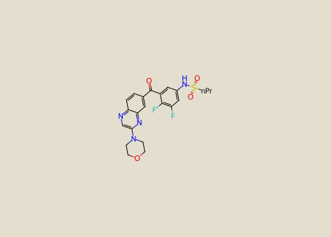 CCCS(=O)(=O)Nc1cc(F)c(F)c(C(=O)c2ccc3ncc(N4CCOCC4)nc3c2)c1